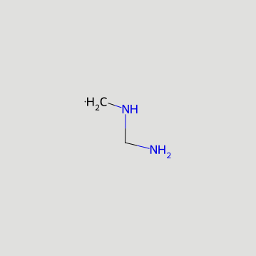 [CH2]NCN